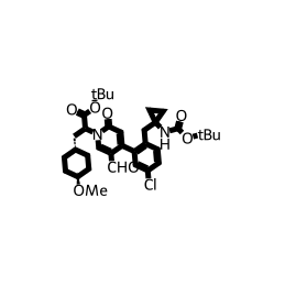 CO[C@H]1CC[C@H](CC(C(=O)OC(C)(C)C)n2cc(C=O)c(-c3cc(Cl)ccc3CC3(NC(=O)OC(C)(C)C)CC3)cc2=O)CC1